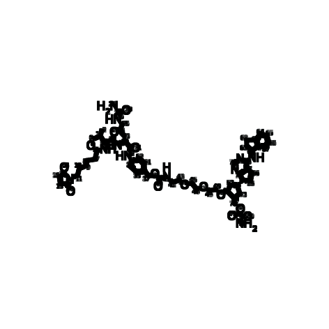 CC(C)[C@@H](NC(=O)CCCCCN1C(=O)C=CC1=O)C(=O)N[C@H](CCCNC(N)=O)C(=O)Nc1ccc(COC(=O)NCCOCCOCCO[C@H]2C[C@H](C3C=Cc4c(N[C@H]5CCc6ccccc65)ncnc43)C[C@H]2COS(N)(=O)=O)cc1